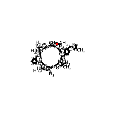 Cc1cnn(Cc2ccc(C[C@H]3OC(=O)[C@H](CC(C)C)N(C)C(=O)[C@@H](C)OC(=O)[C@H](CC(C)C)N(C)C(=O)[C@@H](Cc4ccccc4)OC(=O)[C@H](CC(C)C)N(C)C(=O)[C@@H](C)OC(=O)[C@H](CC(C)C)N(C)C3=O)cc2)c1